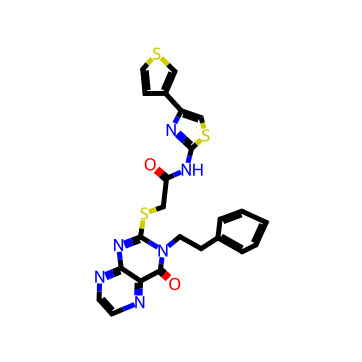 O=C(CSc1nc2nccnc2c(=O)n1CCc1ccccc1)Nc1nc(-c2ccsc2)cs1